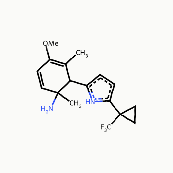 COC1=C(C)C(c2ccc(C3(C(F)(F)F)CC3)[nH]2)C(C)(N)C=C1